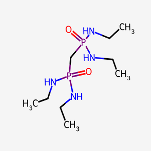 CCNP(=O)(CP(=O)(NCC)NCC)NCC